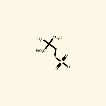 CCOC(=O)C(C)(COS(=O)(=O)Cl)C(=O)OCC